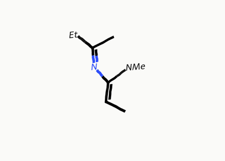 C/C=C(/N=C(\C)CC)NC